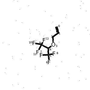 C=CCOC(C(F)(F)F)C(F)(F)F